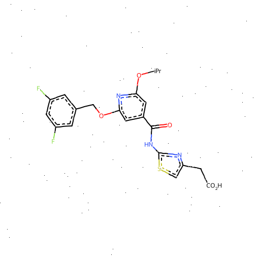 CC(C)Oc1cc(C(=O)Nc2nc(CC(=O)O)cs2)cc(OCc2cc(F)cc(F)c2)n1